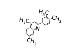 Cc1ccc2c(C)cc(-c3ccc(C)c(C)c3)nc2c1